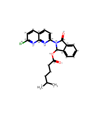 CC(C)CCCC(=O)OC1c2ccccc2C(=O)N1c1ccc2ccc(Br)nc2n1